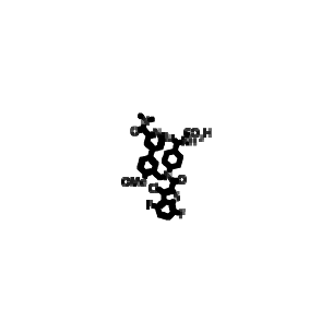 COc1ccc(-c2ccnc(C(=O)N(C)C)c2)cc1CN(C(=O)c1sc2c(F)ccc(F)c2c1Cl)C1CCC(C(NC(=O)O)C(C)(C)C)CC1